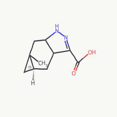 CC12CC3NN=C(C(=O)O)C3C[C@H]1C2